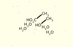 CC(=O)O.CO.O.O.O.O